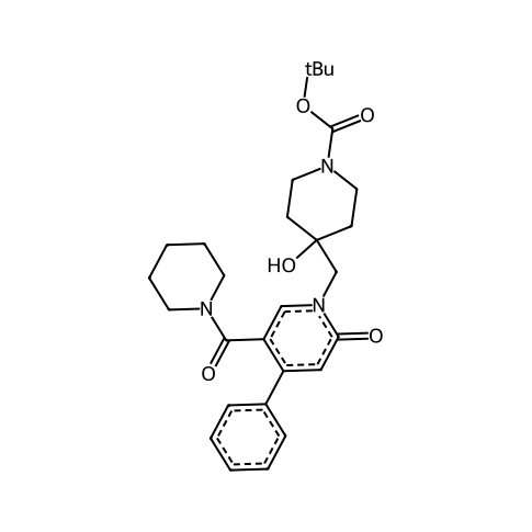 CC(C)(C)OC(=O)N1CCC(O)(Cn2cc(C(=O)N3CCCCC3)c(-c3ccccc3)cc2=O)CC1